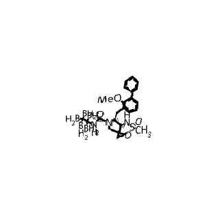 BC(B)(B)C(B)(B)NC(=O)N1CC2(CC2)[C@H](NS(C)(=O)=O)[C@@H]1Cc1cccc(-c2ccccc2)c1OC